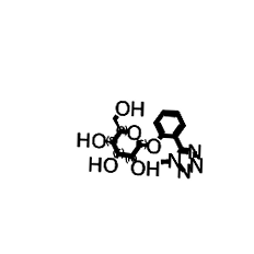 Cn1nnnc1-c1ccccc1O[C@@H]1O[C@H](CO)[C@@H](O)[C@H](O)[C@H]1O